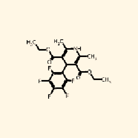 CCOC(=O)C1=C(C)NC(C)=C(C(=O)OCC)C1c1c(F)c(F)c(F)c(F)c1F